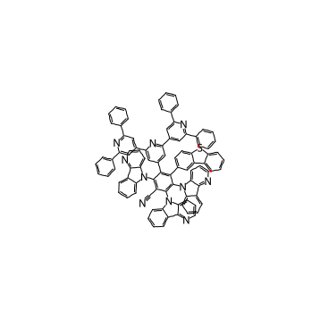 N#Cc1c(-n2c3ccccc3c3ncccc32)c(-c2cc(-c3cc(-c4ccccc4)nc(-c4ccccc4)c3)nc(-c3cc(-c4ccccc4)nc(-c4ccccc4)c3)c2)c(-c2ccc3sc4ccccc4c3c2)c(-n2c3ccccc3c3ncccc32)c1-n1c2ccccc2c2ncccc21